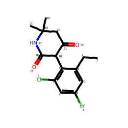 CCc1cc(Br)cc(Cl)c1C1C(=O)CC(C)(C)NC1=O